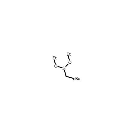 CCCCC[Si](OCC)OCC